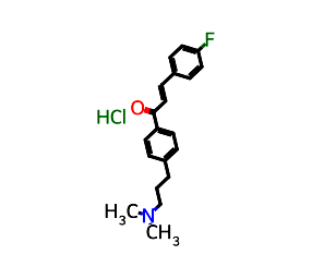 CN(C)CCCc1ccc(C(=O)/C=C/c2ccc(F)cc2)cc1.Cl